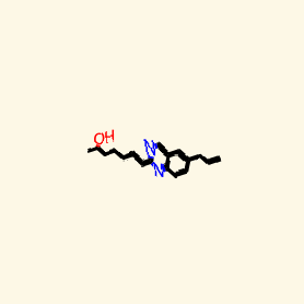 C=CCc1ccc2nc(C=CCCCC(C)O)ncc2c1